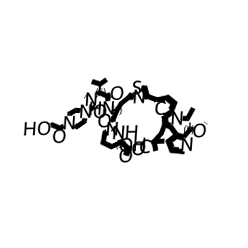 CCn1c(-c2cccnc2[C@H](C)OC)c2c3cc(ccc31)-c1csc(n1)C[C@H](NC(=O)[C@H](C(C)C)N(C)C(=O)N1CCN(C(=O)CO)CC1)C(=O)N1CCC[C@@](O)(N1)C(=O)OCC(C)(C)C2